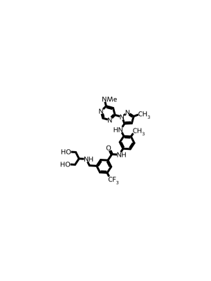 CNc1cc(-n2nc(C)cc2Nc2cc(NC(=O)c3cc(CNC(CO)CO)cc(C(F)(F)F)c3)ccc2C)ncn1